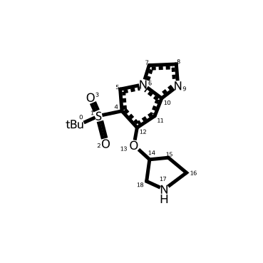 CC(C)(C)S(=O)(=O)c1cn2ccnc2cc1OC1CCNC1